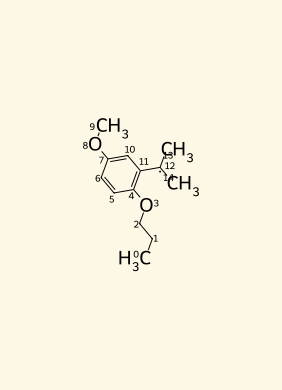 CCCOc1ccc(OC)cc1[C](C)C